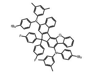 Cc1cc(C)cc(N(c2ccc(C(C)(C)C)cc2)c2cc3c(c4ccccc24)-c2c(cc(N(c4ccc(C(C)(C)C)cc4)c4cc(C)cc(C)c4)c4c2oc2ccccc24)C3(c2ccc(F)cc2)c2ccc(F)cc2)c1